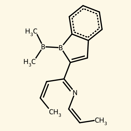 C\C=C/N=C(\C=C/C)C1=Cc2ccccc2B1B(C)C